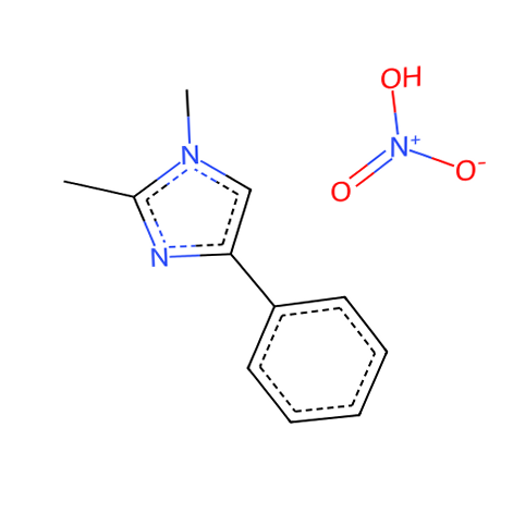 Cc1nc(-c2ccccc2)cn1C.O=[N+]([O-])O